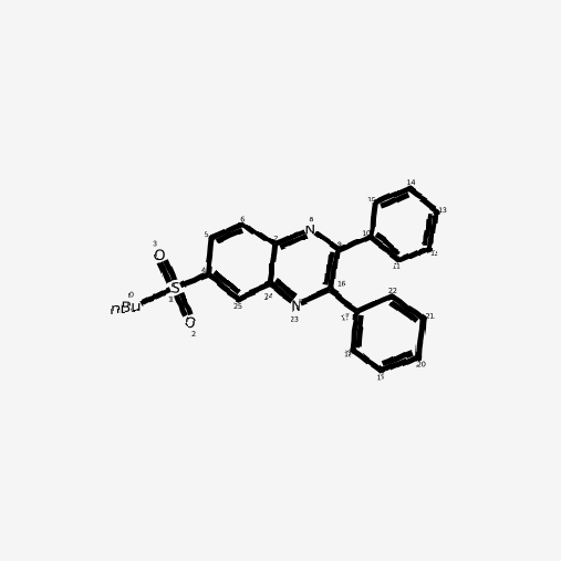 CCCCS(=O)(=O)c1ccc2nc(-c3ccccc3)c(-c3ccccc3)nc2c1